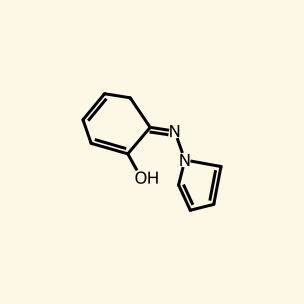 OC1=CC=CCC1=Nn1cccc1